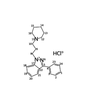 Cl.c1ccc(-c2nn(CCCN3CCCCC3)c3ccccc23)cc1